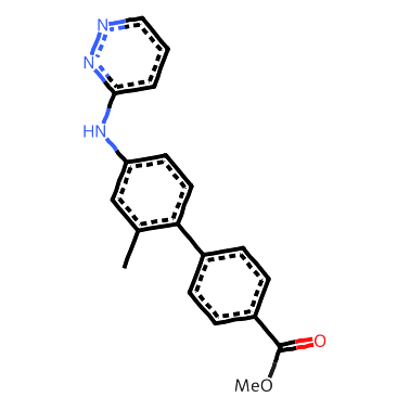 COC(=O)c1ccc(-c2ccc(Nc3cccnn3)cc2C)cc1